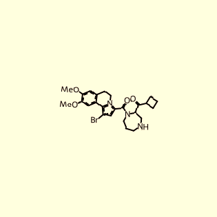 COc1cc2c(cc1OC)-c1c(Br)cc(C(=O)N3CCCNCC3C(=O)C3CCC3)n1CC2